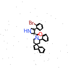 O=C([C@@H]1CNC[C@H]1c1ccccc1Br)N1CCC2(C=Cc3ccccc32)CC1c1ccccc1